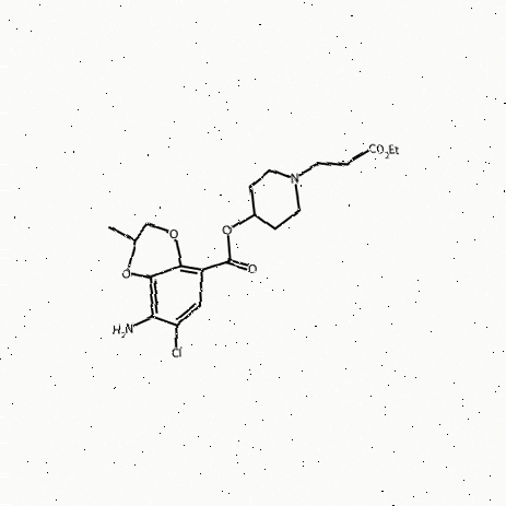 CCOC(=O)CCN1CCC(OC(=O)c2cc(Cl)c(N)c3c2OCC(C)O3)CC1